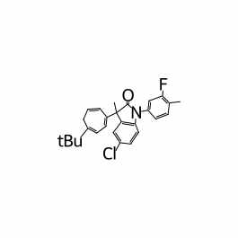 Cc1ccc(N2C(=O)C(C)(C3=CC=C(C(C)(C)C)CC=C3)c3cc(Cl)ccc32)cc1F